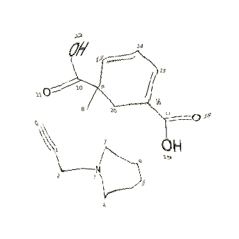 C#CCN1CCCC1.CC1(C(=O)O)C=CC=C(C(=O)O)C1